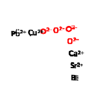 [Bi].[Ca+2].[Cu+2].[O-2].[O-2].[O-2].[O-2].[Pb+2].[Sr+2]